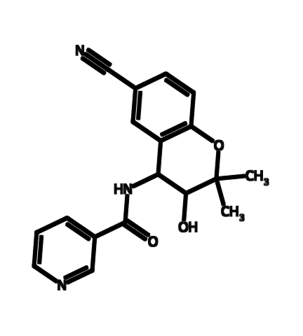 CC1(C)Oc2ccc(C#N)cc2C(NC(=O)c2cccnc2)C1O